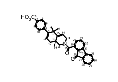 CC1(C)C(c2ccc(C(=O)O)cc2)=CC[C@@]2(C)CN(C(=O)c3cccc4c3C(=O)c3ccccc3-4)CC=C12